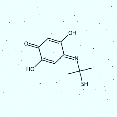 CC(C)(S)/N=C1\C=C(O)C(=O)C=C1O